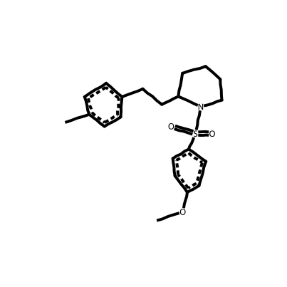 COc1ccc(S(=O)(=O)N2CCCCC2CCc2ccc(C)cc2)cc1